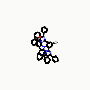 N#Cc1cc(-c2nc(-c3ccccc3)cc(-c3ccccc3)n2)c(-n2c3cc(-c4ccccc4)ccc3c3ccc(-c4ccccc4)cc32)c(-c2nc(-c3ccccc3)cc(-c3ccccc3)n2)c1